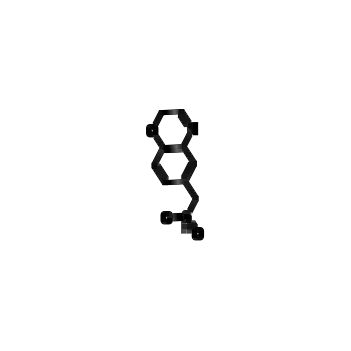 O=[SH](=O)Cc1ccc2c(c1)N=CCO2